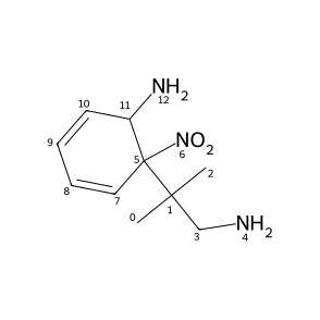 CC(C)(CN)C1([N+](=O)[O-])C=CC=CC1N